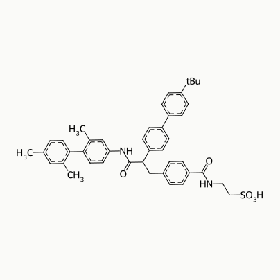 Cc1ccc(-c2ccc(NC(=O)C(Cc3ccc(C(=O)NCCS(=O)(=O)O)cc3)c3ccc(-c4ccc(C(C)(C)C)cc4)cc3)cc2C)c(C)c1